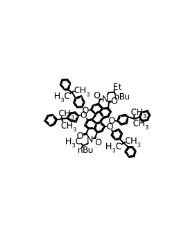 CCCCC(C)CN1C(=O)c2cc(Oc3ccc(C(C)(C)c4ccccc4)cc3)c3c4c(Oc5ccc(C(C)(C)c6ccccc6)cc5)cc5c6c(cc(Oc7ccc(C(C)(C)c8ccccc8)cc7)c(c7c(Oc8ccc(C(C)(C)c9ccccc9)cc8)cc(c2c37)C1=O)c64)C(=O)N(CC(CC)CCCC)C5=O